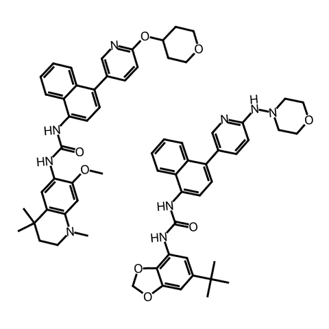 CC(C)(C)c1cc(NC(=O)Nc2ccc(-c3ccc(NN4CCOCC4)nc3)c3ccccc23)c2c(c1)OCO2.COc1cc2c(cc1NC(=O)Nc1ccc(-c3ccc(OC4CCOCC4)nc3)c3ccccc13)C(C)(C)CCN2C